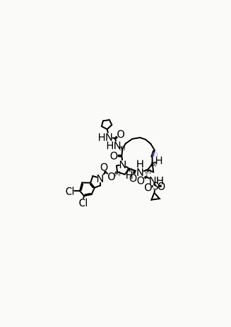 O=C(NC1CCCC1)N[C@H]1CCCCC/C=C/[C@@H]2C[C@@]2(C(=O)NS(=O)(=O)C2CC2)NC(=O)[C@@H]2C[C@@H](OC(=O)N3Cc4cc(Cl)c(Cl)cc4C3)CN2C1=O